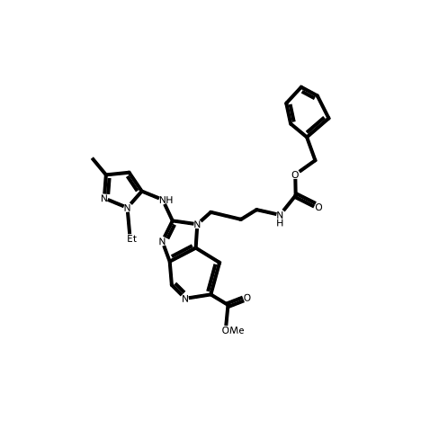 CCn1nc(C)cc1Nc1nc2cnc(C(=O)OC)cc2n1CCCNC(=O)OCc1ccccc1